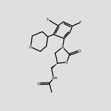 CC(=O)NC[C@H]1CN(c2cc(F)cc(F)c2C2CCOCC2)C(=O)O1